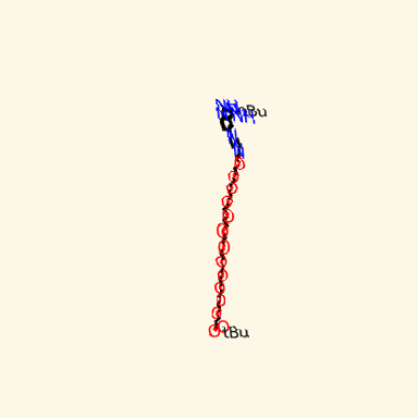 CCCCc1nc2c(N)nc3ccc(N4CCN(CCOCCOCCOCCOCCOCCOCCOCCOCCOCCOCCOCCOCCC(=O)OC(C)(C)C)CC4)cc3c2[nH]1